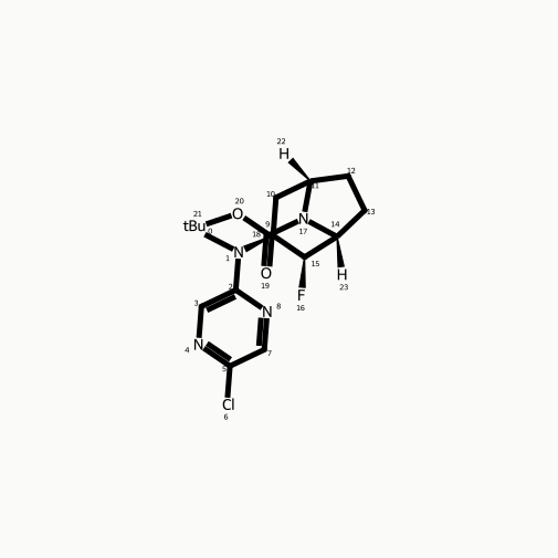 CN(c1cnc(Cl)cn1)[C@H]1C[C@@H]2CC[C@H]([C@H]1F)N2C(=O)OC(C)(C)C